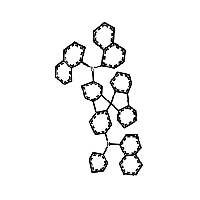 c1ccc(N(c2ccc3c(c2)C2(c4ccccc4-c4ccccc42)c2cc(N(c4cccc5ccccc45)c4cccc5ccccc45)ccc2-3)c2cccc3ccccc23)cc1